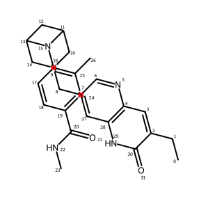 CCc1cc2ncc(CN3CC4CC(C3)N4c3ccc(C(=O)NC)nc3C)cc2[nH]c1=O